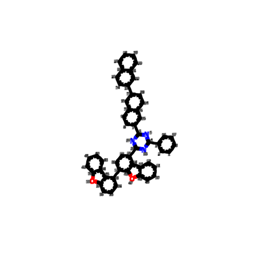 c1ccc(-c2nc(-c3ccc4cc(-c5ccc6ccccc6c5)ccc4c3)nc(-c3ccc(-c4cccc5oc6ccccc6c45)c4oc5ccccc5c34)n2)cc1